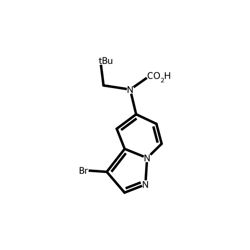 CC(C)(C)CN(C(=O)O)c1ccn2ncc(Br)c2c1